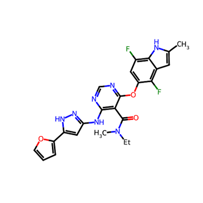 CCN(C)C(=O)c1c(Nc2cc(-c3ccco3)[nH]n2)ncnc1Oc1cc(F)c2[nH]c(C)cc2c1F